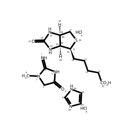 CN1CC(=O)NC1=N.Cl.Cl.O=C(O)CCCC[C@@H]1SC[C@@H]2NC(=O)N[C@@H]21.c1c[nH]cn1